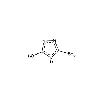 Bc1nnc(O)[nH]1